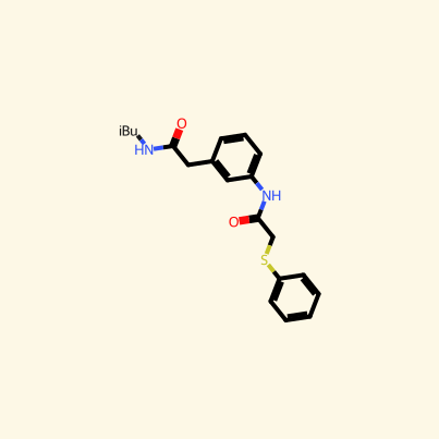 CCC(C)NC(=O)Cc1cccc(NC(=O)CSc2ccccc2)c1